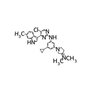 Cc1ccc2c(-c3nc(Nc4cc(C5CC5)cc(N5CC[C@H](N(C)C)C5)c4)ncc3Cl)c[nH]c2c1